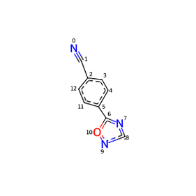 N#Cc1ccc(-c2n[c]no2)cc1